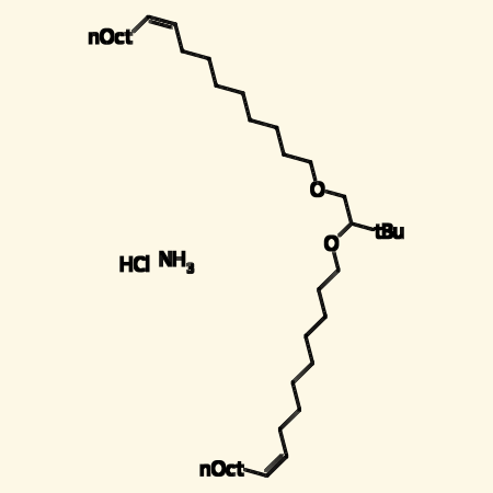 CCCCCCCC/C=C\CCCCCCCCOCC(OCCCCCCCC/C=C\CCCCCCCC)C(C)(C)C.Cl.N